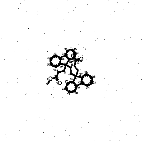 COC(=O)CCC1(CCC2(CCC(=O)OC)c3ccccc3-c3ccccc32)c2ccccc2-c2ccccc21